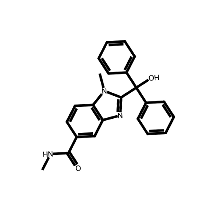 CNC(=O)c1ccc2c(c1)nc(C(O)(c1ccccc1)c1ccccc1)n2C